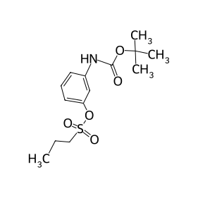 CCCS(=O)(=O)Oc1cccc(NC(=O)OC(C)(C)C)c1